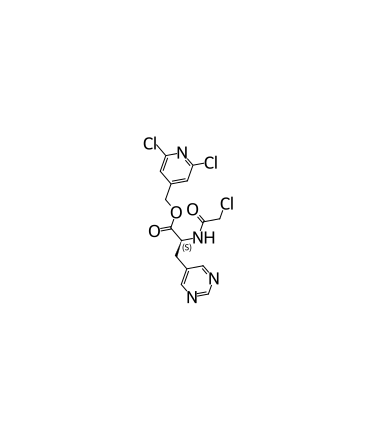 O=C(CCl)N[C@@H](Cc1cncnc1)C(=O)OCc1cc(Cl)nc(Cl)c1